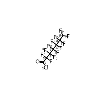 O=C(Cl)C(F)(F)C(F)(F)C(F)(F)C(F)(F)C(F)(F)C(F)F